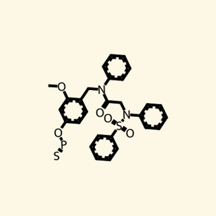 COc1cc(OP=S)ccc1CN(C(=O)CN(c1ccccc1)S(=O)(=O)c1ccccc1)c1ccccc1